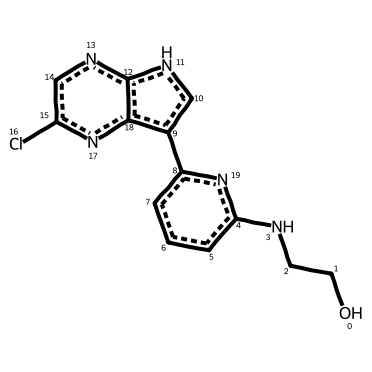 OCCNc1cccc(-c2c[nH]c3ncc(Cl)nc23)n1